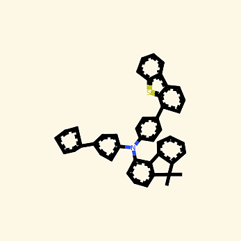 CC1(C)c2ccccc2-c2c(N(c3ccc(-c4ccccc4)cc3)c3ccc(-c4cccc5c4sc4ccccc45)cc3)cccc21